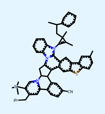 CC1=C(n2c3ccccc3[n+]3c4c(c5cc6sc7ccc(C)cc7c6cc5c23)C2c3cc(C#N)ccc3-c3cc(CC(C)C)c([Si](C)(C)C)c[n+]3C2C4)C1(C)CC(C)c1ccccc1